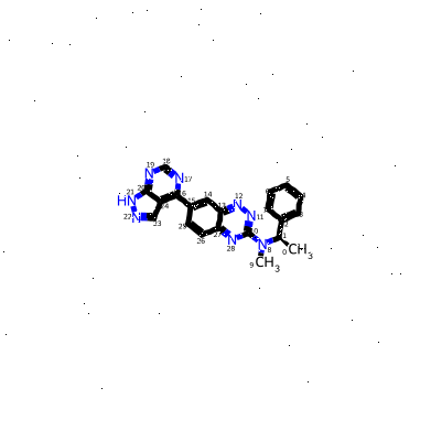 C[C@H](c1ccccc1)N(C)c1nnc2cc(-c3ncnc4[nH]ncc34)ccc2n1